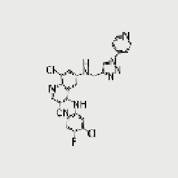 N#Cc1cnc2c(Cl)cc(NCc3cn(-c4ccncc4)nn3)cc2c1Nc1ccc(F)c(Cl)c1